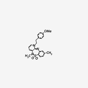 COc1ccc(CCN2C=CC=C3C2=Nc2cc(C)ccc2S(=O)(=O)N3C)cc1